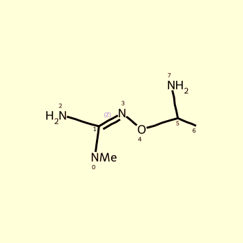 CN/C(N)=N\OC(C)N